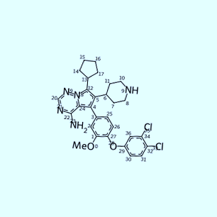 COc1cc(-c2c(C3CCNCC3)c(C3CCCC3)n3ncnc(N)c23)ccc1Oc1ccc(Cl)c(Cl)c1